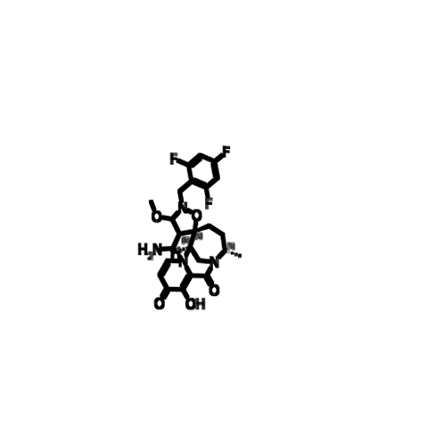 COC1C(C(N)=O)[C@]2(CC[C@H](C)N3C[C@H]2n2ccc(=O)c(O)c2C3=O)ON1Cc1c(F)cc(F)cc1F